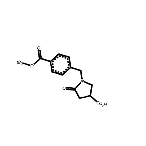 CC(C)(C)OC(=O)c1ccc(CN2CC(C(=O)O)CC2=O)cc1